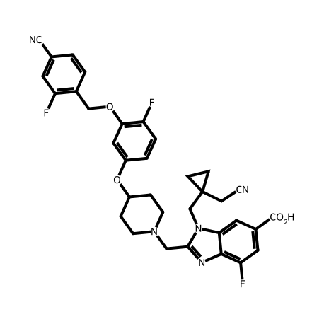 N#CCC1(Cn2c(CN3CCC(Oc4ccc(F)c(OCc5ccc(C#N)cc5F)c4)CC3)nc3c(F)cc(C(=O)O)cc32)CC1